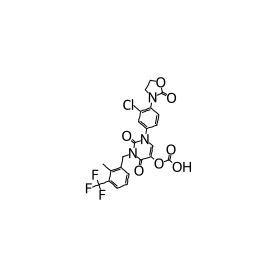 Cc1c(Cn2c(=O)c(OC(=O)O)cn(-c3ccc(N4CCOC4=O)c(Cl)c3)c2=O)cccc1C(F)(F)F